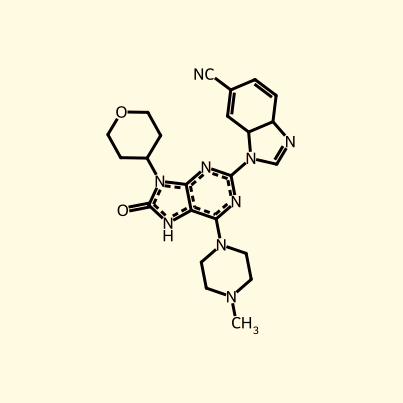 CN1CCN(c2nc(N3C=NC4C=CC(C#N)=CC43)nc3c2[nH]c(=O)n3C2CCOCC2)CC1